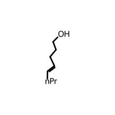 CCCC=CCCCO